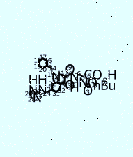 CCCCOC(=O)NC(CNC(=O)c1cn(CCc2ccccc2)c2cc(CNC3=NCCN3)ccc2c1=O)C(=O)O